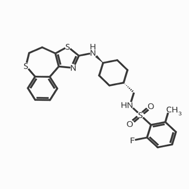 Cc1cccc(F)c1S(=O)(=O)NC[C@H]1CC[C@H](Nc2nc3c(s2)CCSc2ccccc2-3)CC1